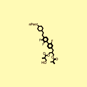 C=C(C)C(=O)OCC(COC(=O)C(=C)CO)Cc1ccc(-c2ccc(CCC3CCC(CCCCC)CC3)c(F)c2F)c(F)c1